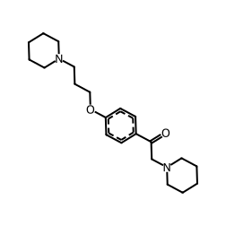 O=C(CN1CCCCC1)c1ccc(OCCCN2CCCCC2)cc1